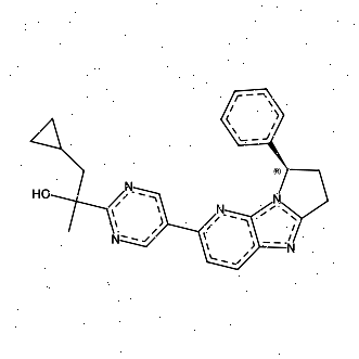 CC(O)(CC1CC1)c1ncc(-c2ccc3nc4n(c3n2)[C@@H](c2ccccc2)CC4)cn1